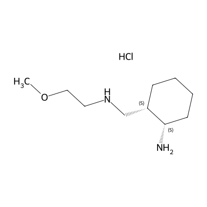 COCCNC[C@@H]1CCCC[C@@H]1N.Cl